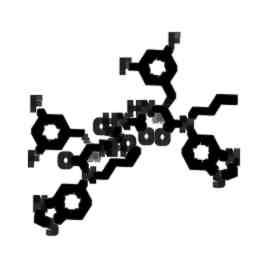 C=CCCN(C(=O)[C@H](Cc1cc(F)cc(F)c1)NC(=O)NS(=O)(=O)N[C@@H](Cc1cc(F)cc(F)c1)C(=O)N(CCC=C)c1ccc2scnc2c1)c1ccc2scnc2c1